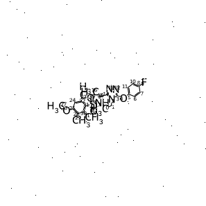 CCn1c(Oc2ccc(F)cc2)nnc1[C@@H](C)NS(=O)(=O)c1c(C)cc(OC)c(C)c1C